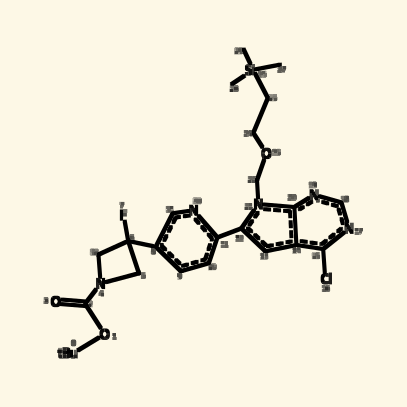 CC(C)(C)OC(=O)N1CC(F)(c2ccc(-c3cc4c(Cl)ncnc4n3COCC[Si](C)(C)C)nc2)C1